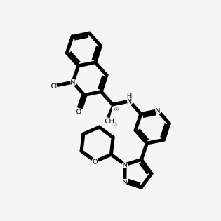 C[C@H](Nc1cc(-c2ccnn2C2CCCCO2)ccn1)c1cc2ccccc2n(Cl)c1=O